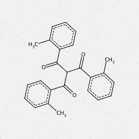 Cc1ccccc1C(=O)C(C(=O)c1ccccc1C)C(=O)c1ccccc1C